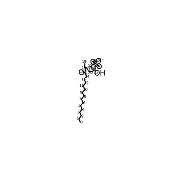 CCCCCCCCCCCCCCCC(=O)[N+](CC)(CCO)COS(=O)(=O)[O-]